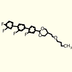 CCCCOCCC1COC(c2ccc(-c3ccc(-c4ccc(F)c(F)c4)c(F)c3)c(F)c2)OC1